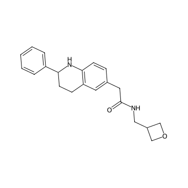 O=C(Cc1ccc2c(c1)CCC(c1ccccc1)N2)NCC1COC1